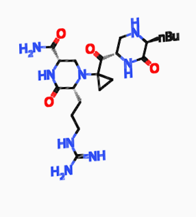 CCCC[C@@H]1NC[C@@H](C(=O)C2(N3C[C@@H](C(N)=O)NC(=O)[C@H]3CCCNC(=N)N)CC2)NC1=O